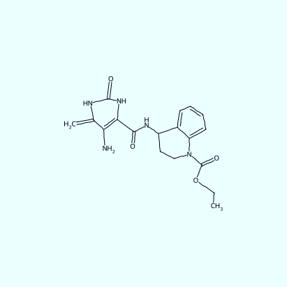 C=C1NC(=O)NC(C(=O)NC2CCN(C(=O)OCC)c3ccccc32)=C1N